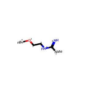 CCCCOCCNC(=N)NC